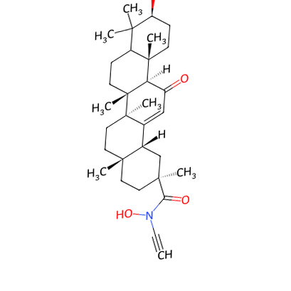 C#CN(O)C(=O)[C@@]1(C)CC[C@]2(C)CC[C@]3(C)C(=CC(=O)[C@@H]4[C@@]5(C)CC[C@H](O)C(C)(C)C5CC[C@]43C)[C@@H]2C1